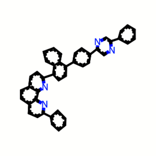 c1ccc(-c2cnc(-c3ccc(-c4ccc(-c5ccc6ccc7ccc(-c8ccccc8)nc7c6n5)c5ccccc45)cc3)cn2)cc1